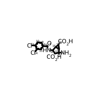 NC1(C(=O)O)CC(NC(=O)c2ccc(Cl)c(Cl)c2)C2C(C(=O)O)C21